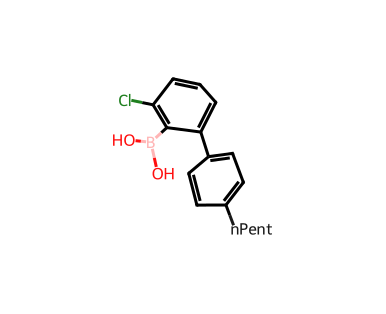 CCCCCc1ccc(-c2cccc(Cl)c2B(O)O)cc1